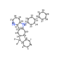 CC1(C)c2ccccc2-c2cc3c(cc21)c1ncccc1n3-c1ccc(-c2ccccc2)cc1